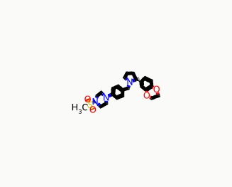 CS(=O)(=O)N1CCN(c2ccc(CN3CCC[C@@H]3c3ccc4c(c3)OCCO4)cc2)CC1